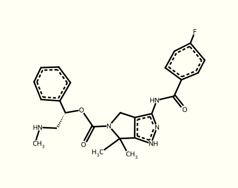 CNC[C@@H](OC(=O)N1Cc2c(NC(=O)c3ccc(F)cc3)n[nH]c2C1(C)C)c1ccccc1